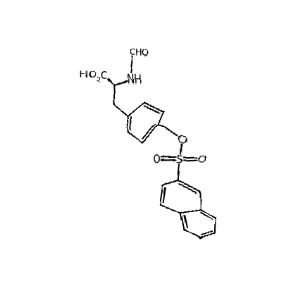 O=CN[C@@H](Cc1ccc(OS(=O)(=O)c2ccc3ccccc3c2)cc1)C(=O)O